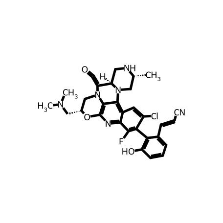 C[C@@H]1CN2c3c4c(nc5c(F)c(-c6c(O)cccc6/C=C/C#N)c(Cl)cc35)O[C@H](CN(C)C)CN4C(=C=O)[C@H]2CN1